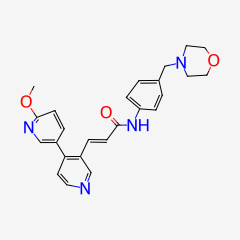 COc1ccc(-c2ccncc2/C=C/C(=O)Nc2ccc(CN3CCOCC3)cc2)cn1